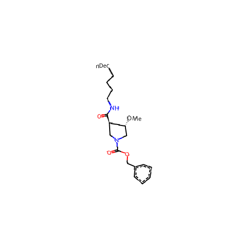 CCCCCCCCCCCCCCNC(=O)[C@@H]1CN(C(=O)OCc2ccccc2)C[C@H]1OC